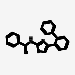 O=C(Nc1nc(-c2ccccc2-c2ccccc2)cs1)c1ccccc1